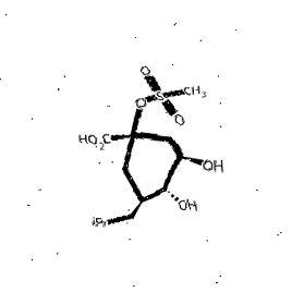 CC(C)C[C@H]1C[C@@](OS(C)(=O)=O)(C(=O)O)C[C@@H](O)[C@@H]1O